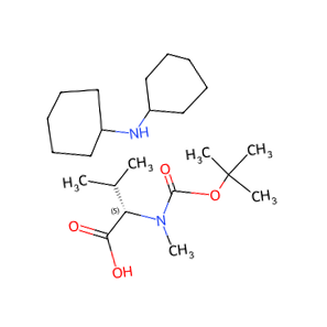 C1CCC(NC2CCCCC2)CC1.CC(C)[C@@H](C(=O)O)N(C)C(=O)OC(C)(C)C